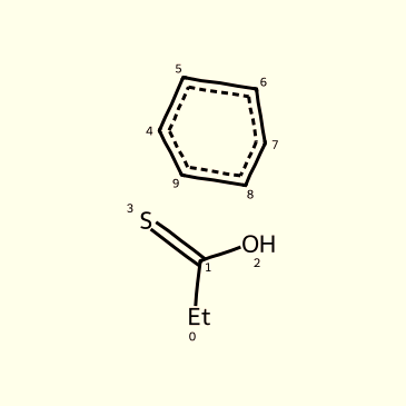 CCC(O)=S.c1ccccc1